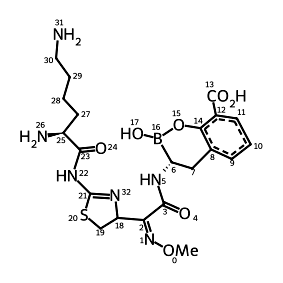 CO/N=C(\C(=O)N[C@H]1Cc2cccc(C(=O)O)c2OB1O)C1CSC(NC(=O)[C@@H](N)CCCCN)=N1